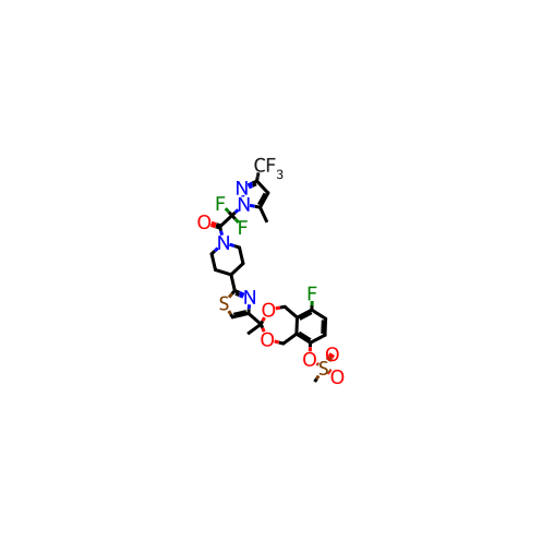 Cc1cc(C(F)(F)F)nn1C(F)(F)C(=O)N1CCC(c2nc(C3(C)OCc4c(F)ccc(OS(C)(=O)=O)c4CO3)cs2)CC1